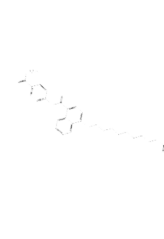 CCC(=O)OCCCCCCCCOc1ccc(C(=O)Oc2ccc(C(=O)OC)cc2)c2ccccc12